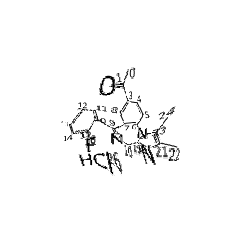 CC(=O)c1ccc2c(c1)C(c1ccccc1F)=NCc1nc(C)c(C)n1-2.Cl